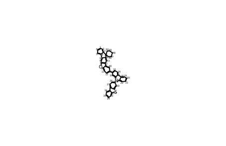 c1ccc2c(c1)-c1cc3oc4ccc(-c5ccc6c7ccccc7n(-c7ccc8c(c7)sc7ccccc78)c6c5)cc4c3cc1C21CCCCC1